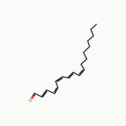 CCCCCCCC\C=C/C=C/C=C\C=C/C=C/C=O